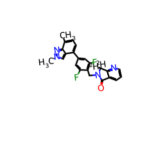 [2H]C1([2H])c2ncccc2C(=O)N1Cc1c(F)cc(-c2ccc(C)c3nn(C)cc23)cc1F